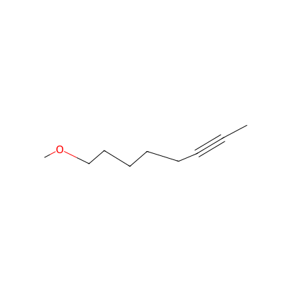 CC#CCCCCCOC